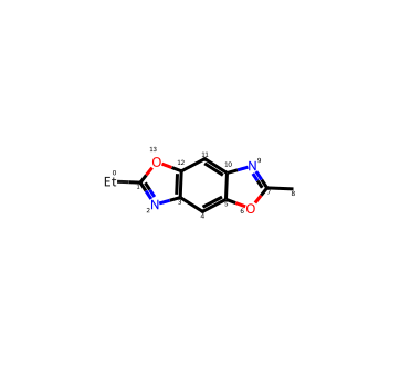 CCc1nc2cc3oc(C)nc3cc2o1